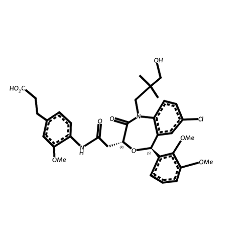 COc1cc(CCC(=O)O)ccc1NC(=O)C[C@H]1O[C@H](c2cccc(OC)c2OC)c2cc(Cl)ccc2N(CC(C)(C)CO)C1=O